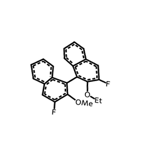 CCOc1c(F)cc2ccccc2c1-c1c(OC)c(F)cc2ccccc12